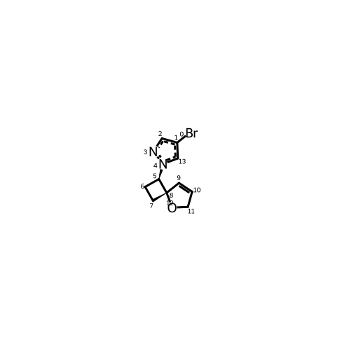 Brc1cnn([C@@H]2CC[C@]23C=CCO3)c1